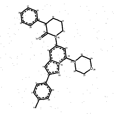 Cc1ccc(-c2cc3cc(N4CCCC(c5ccccc5)C4=O)cc(N4CCOCC4)n3n2)cc1